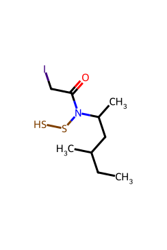 CCC(C)CC(C)N(SS)C(=O)CI